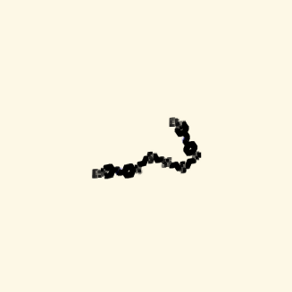 CC[n+]1ccc(/C=C/c2ccc(N(C)CCC[N+](C)(C)CCCSSCCC[N+](C)(C)CCCN(C)c3ccc(/C=C/c4cc[n+](CC)cc4)cc3)cc2)cc1